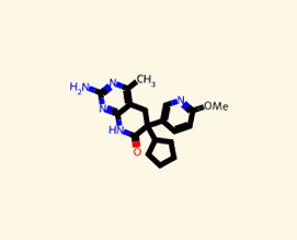 COc1ccc(C2(C3CCCC3)Cc3c(C)nc(N)nc3NC2=O)cn1